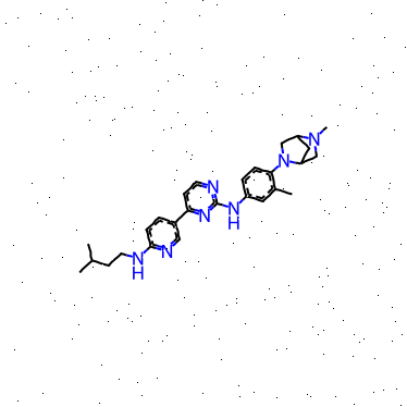 Cc1cc(Nc2nccc(-c3ccc(NCCC(C)C)nc3)n2)ccc1N1CC2CC1CN2C